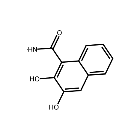 [NH]C(=O)c1c(O)c(O)cc2ccccc12